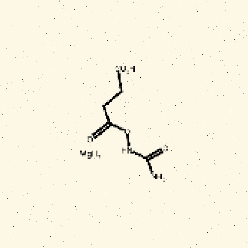 NC(=O)NOC(=O)CCC(=O)O.[MgH2]